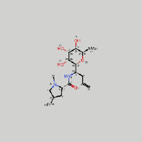 C=CC[C@@H](NC(=O)[C@@H]1C[C@@H](CCC)CN1C)[C@H]1O[C@H](SC)[C@H](O)[C@@H](O)[C@H]1O